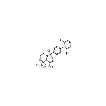 CC1(C)SCCN(S(=O)(=O)c2ccc(-c3c(F)cccc3F)cc2)C1C(=O)O